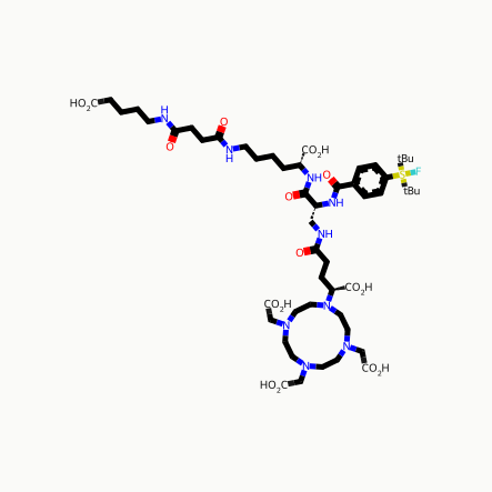 CC(C)(C)S(F)(c1ccc(C(=O)N[C@H](CNC(=O)CC[C@@H](C(=O)O)N2CCN(CC(=O)O)CCN(CC(=O)O)CCN(CC(=O)O)CC2)C(=O)N[C@H](CCCCNC(=O)CCC(=O)NCCCCC(=O)O)C(=O)O)cc1)C(C)(C)C